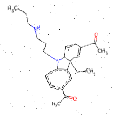 CCCNCCCN1c2ccc(C(C)=O)cc2C2(CC)C=C(C(C)=O)C=CC12